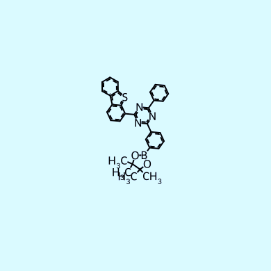 CC1(C)OB(c2cccc(-c3nc(-c4ccccc4)nc(-c4cccc5c4sc4ccccc45)n3)c2)OC1(C)C